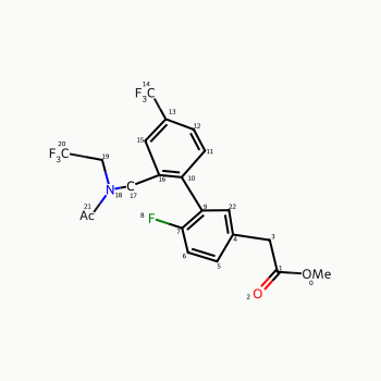 COC(=O)Cc1ccc(F)c(-c2ccc(C(F)(F)F)cc2CN(CC(F)(F)F)C(C)=O)c1